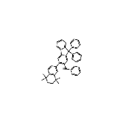 CC1(C)CCC(C)(C)c2cc(-c3cc4c(cc3Nc3ccccc3)C(c3ccccc3)(c3ccccc3)c3ccccc3-4)ccc21